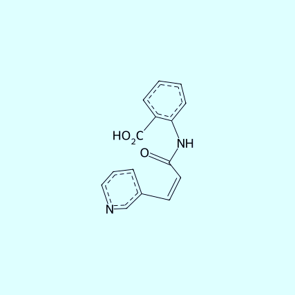 O=C(/C=C\c1cccnc1)Nc1ccccc1C(=O)O